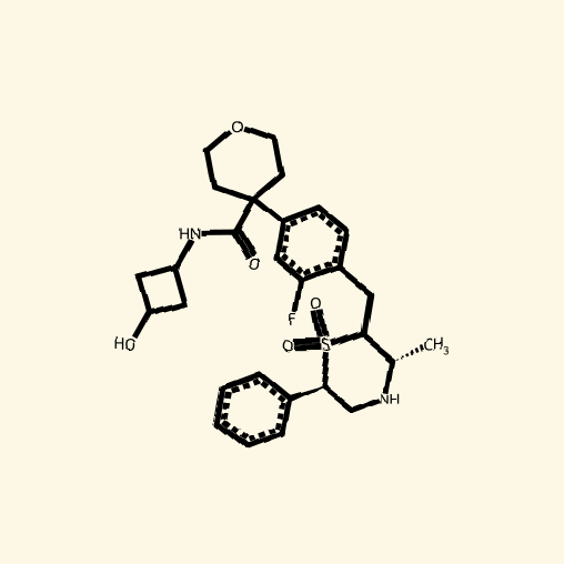 C[C@@H]1NC[C@@H](c2ccccc2)S(=O)(=O)C1Cc1ccc(C2(C(=O)NC3CC(O)C3)CCOCC2)cc1F